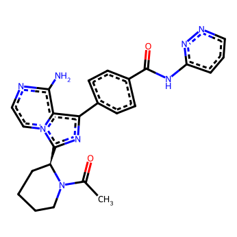 CC(=O)N1CCCC[C@H]1c1nc(-c2ccc(C(=O)Nc3cccnn3)cc2)c2c(N)nccn12